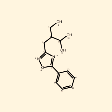 OCC(Cc1noc(-c2ccccc2)n1)C(O)O